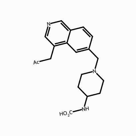 CC(=O)Cc1cncc2ccc(CN3CCC(NC(=O)O)CC3)cc12